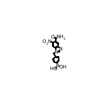 NC(=O)c1cc2ncn(Cc3ccc(B(O)O)cc3)c2cc1[N+](=O)[O-]